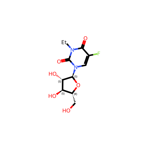 CCn1c(=O)c(F)cn([C@H]2O[C@H](CO)[C@@H](O)[C@@H]2O)c1=O